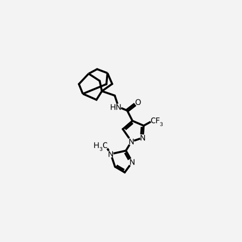 Cn1ccnc1-n1cc(C(=O)NCC23CC4CC(CC(C4)C2)C3)c(C(F)(F)F)n1